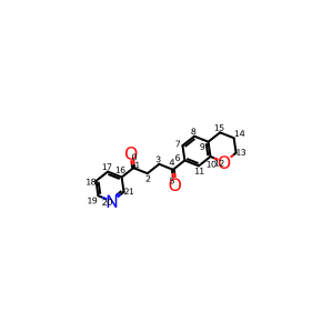 O=C(CCC(=O)c1ccc2c(c1)OCCC2)c1cccnc1